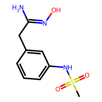 CS(=O)(=O)Nc1cccc(CC(N)=NO)c1